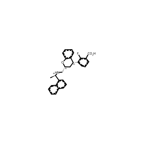 C[C@@H](NC[C@H]1C[C@@H](c2cccc(C(=O)O)c2F)c2ccccc2O1)c1cccc2ccccc12